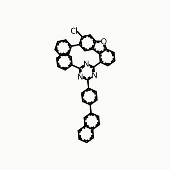 Clc1cc2oc3cccc(-c4nc(-c5ccccc5)nc(-c5ccc(-c6ccc7ccccc7c6)cc5)n4)c3c2cc1-c1ccccc1